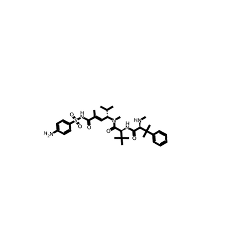 CN[C@H](C(=O)N[C@H](C(=O)N(C)[C@H](/C=C(\C)C(=O)NS(=O)(=O)c1ccc(N)cc1)C(C)C)C(C)(C)C)C(C)(C)c1ccccc1